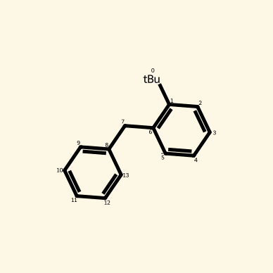 CC(C)(C)c1ccc[c]c1Cc1ccccc1